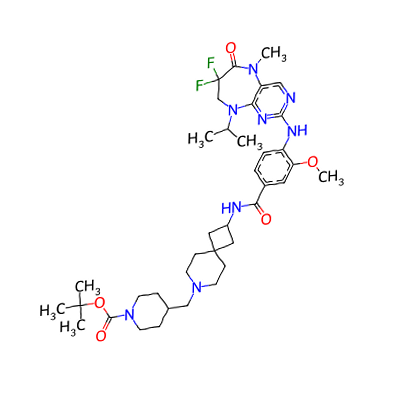 COc1cc(C(=O)NC2CC3(CCN(CC4CCN(C(=O)OC(C)(C)C)CC4)CC3)C2)ccc1Nc1ncc2c(n1)N(C(C)C)CC(F)(F)C(=O)N2C